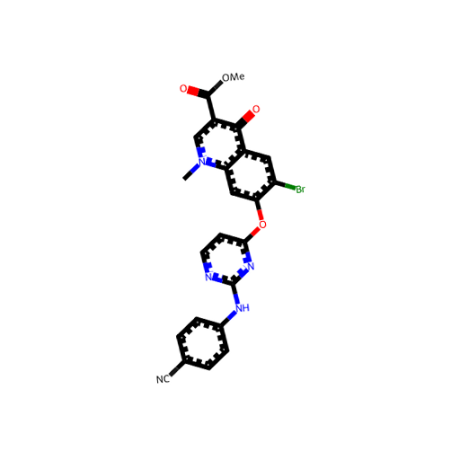 COC(=O)c1cn(C)c2cc(Oc3ccnc(Nc4ccc(C#N)cc4)n3)c(Br)cc2c1=O